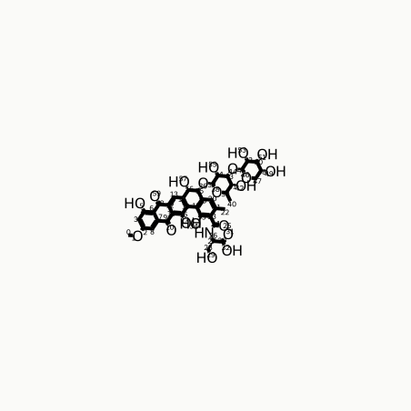 COc1cc(O)c2c(c1)C(=O)c1c(cc3c(c1O)-c1c(cc(C)c(C(=O)N[C@H](CO)C(=O)O)c1O)[C@H](O[C@@H]1OC(C)[C@H](O)C(O[C@@H]4OC[C@@H](O)C(O)C4O)C1O)[C@H]3O)C2=O